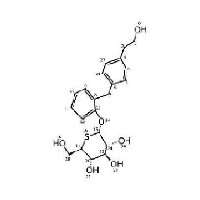 OCCc1ccc(Cc2ccccc2O[C@@H]2S[C@H](CO)[C@@H](O)[C@H](O)[C@H]2O)cc1